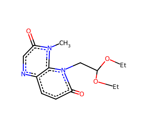 CCOC(Cn1c(=O)ccc2ncc(=O)n(C)c21)OCC